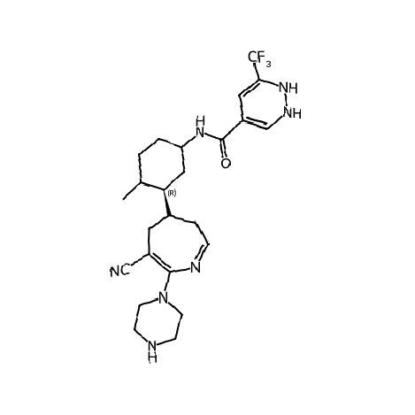 CC1CCC(NC(=O)C2=CNNC(C(F)(F)F)=C2)C[C@H]1C1CC=NC(N2CCNCC2)=C(C#N)C1